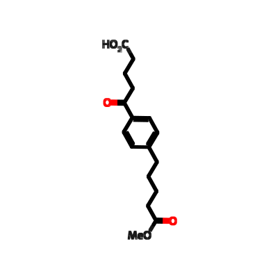 COC(=O)CCCCc1ccc(C(=O)CCCC(=O)O)cc1